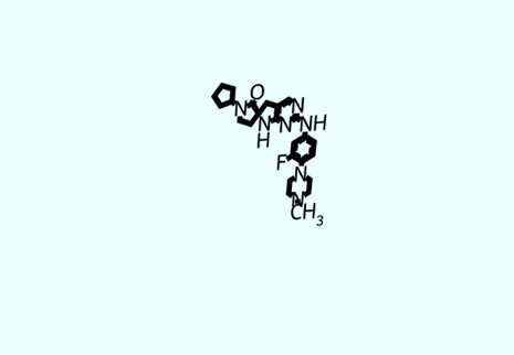 CN1CCN(c2ccc(Nc3ncc4c(n3)NC3(CCN(C5CCCC5)C3=O)C4)cc2F)CC1